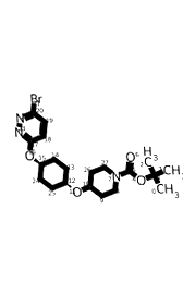 CC(C)(C)OC(=O)N1CCC(O[C@H]2CC[C@H](Oc3ccc(Br)nn3)CC2)CC1